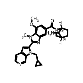 COc1cc(C(=O)N2C[C@H]3CC[C@@H]2C3N)cc2nc(-c3cc4ccncc4n3CC3CC3)n(C)c12